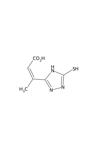 C/C(=C/C(=O)O)c1nnc(S)[nH]1